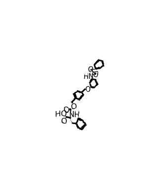 O=C(N[C@H](Cc1ccccc1)C(=O)O)OCc1ccc(COc2cccc(NS(=O)(=O)c3ccccc3)c2)cc1